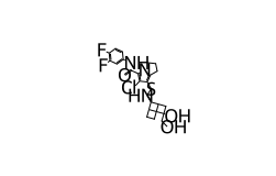 O=C(Nc1ccc(F)c(F)c1)c1c(Cl)c(SNC2C3CCC34C2CC4(O)CO)c2n1CCC2